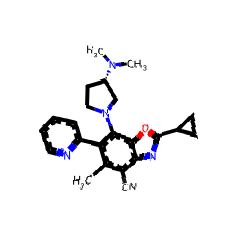 Cc1c(-c2ccccn2)c(N2CC[C@H](N(C)C)C2)c2oc(C3CC3)nc2c1C#N